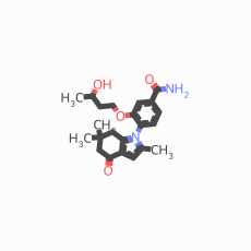 Cc1cc2c(n1-c1ccc(C(N)=O)cc1OCCC(C)O)CC(C)(C)CC2=O